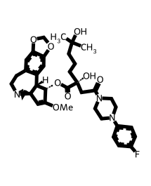 COC1=C[C@]23CCCN2CCc2cc4c(cc2[C@@H]3[C@@H]1OC(=O)[C@@](O)(CCCC(C)(C)O)CC(=O)N1CCN(c2ccc(F)cc2)CC1)OCO4